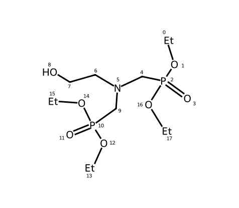 CCOP(=O)(CN(CCO)CP(=O)(OCC)OCC)OCC